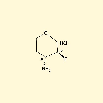 Cl.N[C@@H]1CCOC[C@H]1F